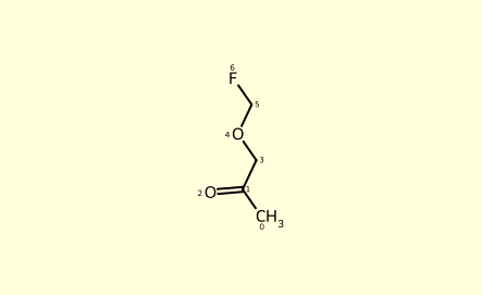 CC(=O)COCF